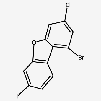 Clc1cc(Br)c2c(c1)oc1cc(I)ccc12